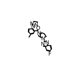 Cc1ccc(-n2nccn2)c(C(=O)N2CC3CC2CCN3c2ncc3cc(F)ccc3n2)c1